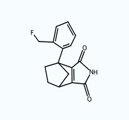 O=C1NC(=O)C2=C1C1CCC2(c2ccccc2CF)C1